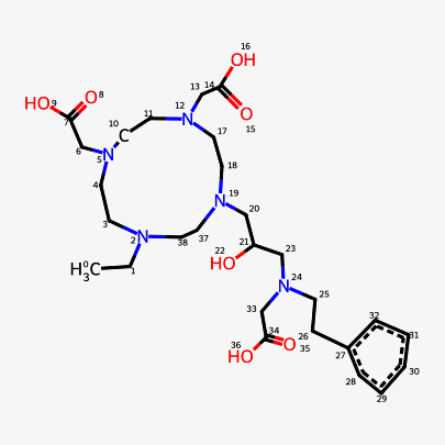 CCN1CCN(CC(=O)O)CCN(CC(=O)O)CCN(CC(O)CN(CCc2ccccc2)CC(=O)O)CC1